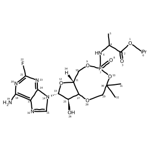 CC(C)OC(=O)C(C)NP1(=O)OC[C@H]2O[C@@H](n3cnc4c(N)nc(F)nc43)[C@H](O)C2OCC(C)(C)O1